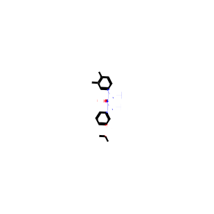 Cc1ccc(NC(=O)Nc2cccc(OC(C)C)c2)cc1C